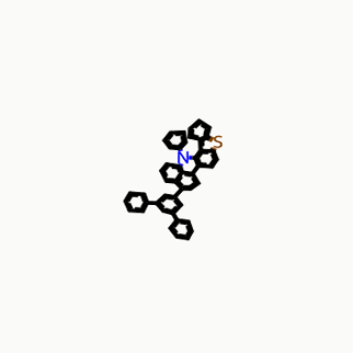 c1ccc(-c2cc(-c3ccccc3)cc(-c3ccc4c5c(cccc35)N(c3ccccc3)c3c-4ccc4sc5ccccc5c34)c2)cc1